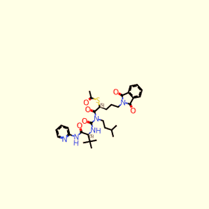 CC(=O)S[C@@H](CCCN1C(=O)c2ccccc2C1=O)C(=O)N(CCC(C)C)C(=O)N[C@H](C(=O)Nc1ccccn1)C(C)(C)C